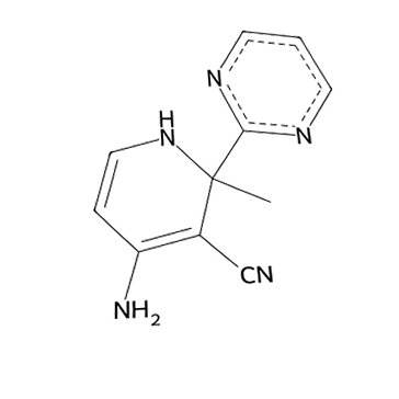 CC1(c2ncccn2)NC=CC(N)=C1C#N